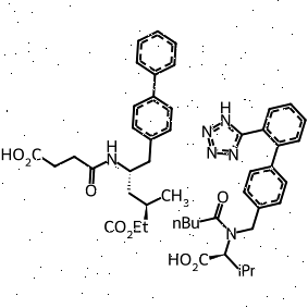 CCCCC(=O)N(Cc1ccc(-c2ccccc2-c2nnn[nH]2)cc1)[C@H](C(=O)O)C(C)C.CCOC(=O)[C@H](C)C[C@@H](Cc1ccc(-c2ccccc2)cc1)NC(=O)CCC(=O)O